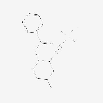 CC1CCC(NC(=O)c2ccccn2)C(C#C[Si](C(C)C)(C(C)C)C(C)C)C1